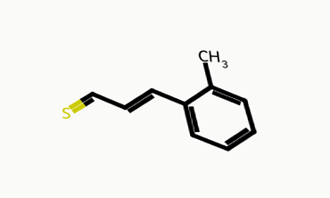 Cc1ccccc1C=CC=S